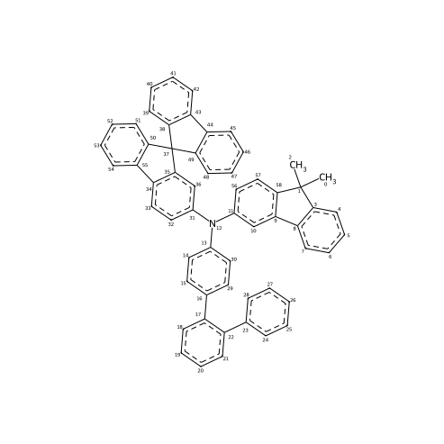 CC1(C)c2ccccc2-c2cc(N(c3ccc(-c4ccccc4-c4ccccc4)cc3)c3ccc4c(c3)C3(c5ccccc5-c5ccccc53)c3ccccc3-4)ccc21